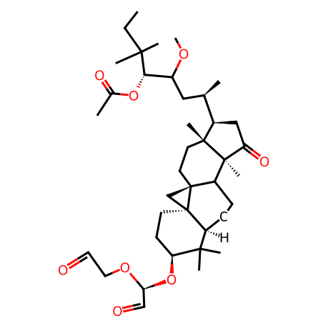 CCC(C)(C)[C@@H](OC(C)=O)C(C[C@@H](C)[C@H]1CC(=O)[C@@]2(C)C3CC[C@H]4C(C)(C)[C@@H](O[C@@H](C=O)OCC=O)CC[C@@]45C[C@@]35CC[C@]12C)OC